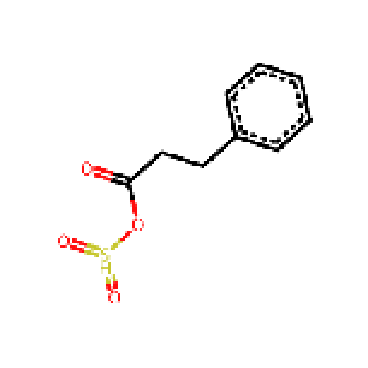 O=C(CCc1ccccc1)O[SH](=O)=O